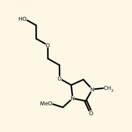 COCN1C(=O)N(C)CC1OCCOCCO